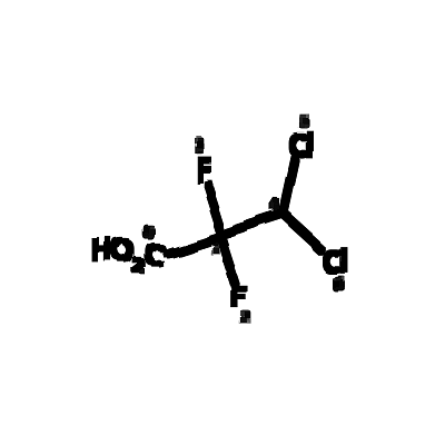 O=C(O)C(F)(F)C(Cl)Cl